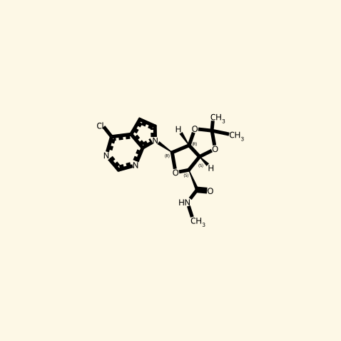 CNC(=O)[C@H]1O[C@@H](n2ccc3c(Cl)ncnc32)[C@@H]2OC(C)(C)O[C@@H]21